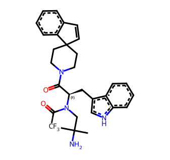 CC(C)(N)CN(C(=O)C(F)(F)F)[C@H](Cc1c[nH]c2ccccc12)C(=O)N1CCC2(C=Cc3ccccc32)CC1